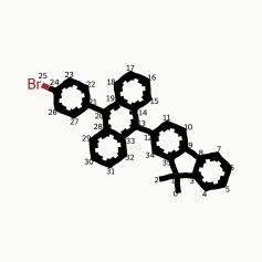 CC1(C)c2ccccc2-c2ccc(-c3c4ccccc4c(-c4ccc(Br)cc4)c4ccccc34)cc21